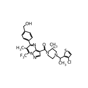 Cc1c(-c2ccc(CO)cc2)nc2c(C(=O)N3CCN(C(C)c4sccc4Cl)C[C@H]3C)cnn2c1C(F)(F)F